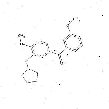 COc1cccc(C(=O)c2ccc(OC)c(OC3CCCC3)c2)c1